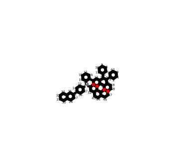 c1ccc(-c2c(-c3ccccc3)c3cc(-c4ccccc4N(c4ccc(-c5ccc6ccccc6c5)cc4)c4ccc5c(ccc6ccccc65)c4)ccc3c3ccccc23)cc1